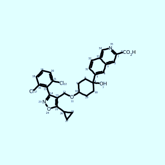 O=C(O)c1cc2cc(C3(O)CCC(OCc4c(-c5c(Cl)cccc5Cl)noc4C4CC4)CC3)ccc2cn1